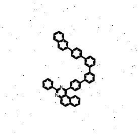 c1ccc(-c2nc(-c3ccc(-c4cccc(-c5cccc(-c6ccc(-c7ccc8ccccc8c7)cc6)c5)c4)cc3)c3c(ccc4ccccc43)n2)cc1